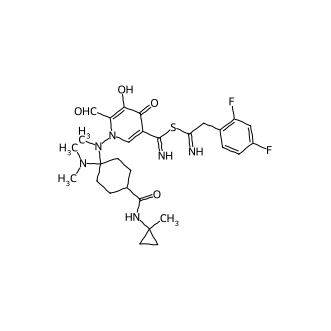 CN(C)C1(N(C)n2cc(C(=N)SC(=N)Cc3ccc(F)cc3F)c(=O)c(O)c2C=O)CCC(C(=O)NC2(C)CC2)CC1